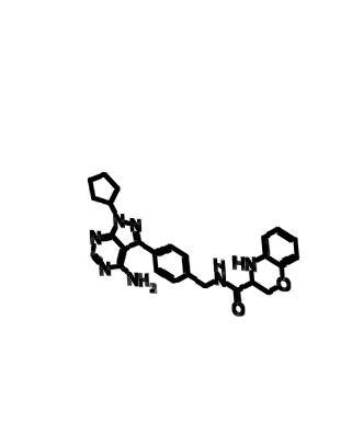 Nc1ncnc2c1c(-c1ccc(CNC(=O)C3COc4ccccc4N3)cc1)nn2C1CCCC1